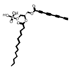 C#CC#CC#CC#CC(=O)OC[C@@H](COP(=O)(O)O)OC(=O)CCCCCCCCCCCC